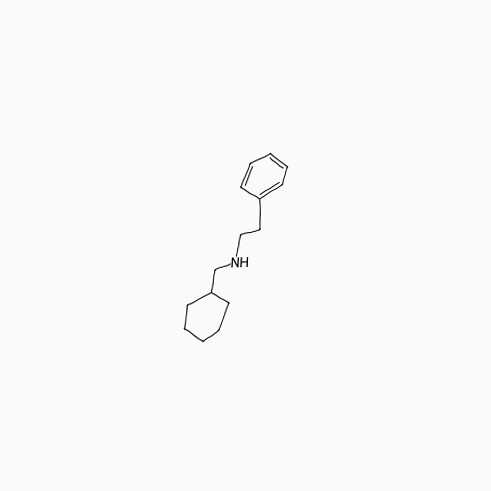 c1ccc(CCNCC2CCCCC2)cc1